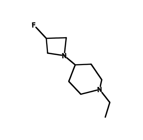 CCN1CCC(N2CC(F)C2)CC1